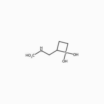 O=C(O)NCC1CCS1(O)O